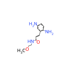 COCCNC(=O)/C=C/c1cc(N)ccc1N